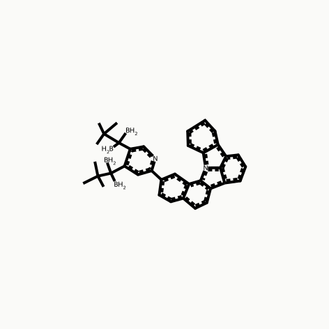 BC(B)(c1cnc(-c2ccc3ccc4c5cccc6c7ccccc7n(c4c3c2)c65)cc1C(B)(B)C(C)(C)C)C(C)(C)C